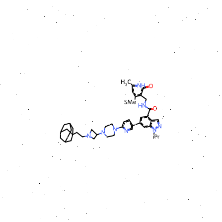 CSc1cc(C)[nH]c(=O)c1CNC(=O)c1cc(-c2ccc(N3CCN(C4CN(CCC56CC7CC(CC(C7)C5)C6)C4)CC3)nc2)cc2c1cnn2C(C)C